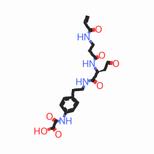 C=CC(=O)NCCC(=O)N[C@@H](CC=O)C(=O)NCCc1ccc(NC(=O)C(=O)O)cc1